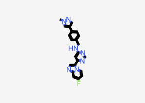 Cn1cc(-c2ccc(CNc3cc(-c4cnc5cc(F)ccn45)ncn3)cc2)cn1